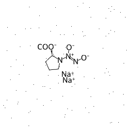 O=C([O-])[C@@H]1CCCN1[N+]([O-])=N[O-].[Na+].[Na+]